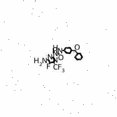 Nc1nc(NC(=O)Nc2ccc(C(=O)c3ccccc3)cc2)nc(C(F)(F)F)c1F